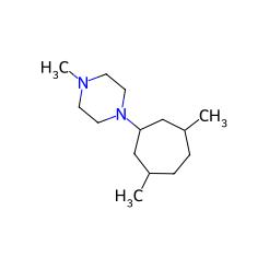 CC1CCC(C)CC(N2CCN(C)CC2)C1